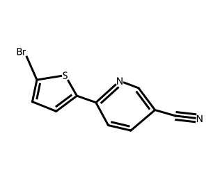 N#Cc1ccc(-c2ccc(Br)s2)nc1